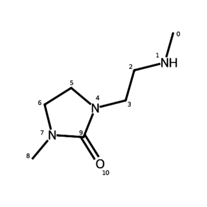 CNCCN1CCN(C)C1=O